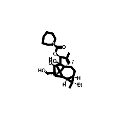 CC[C@@]1(C)[C@@H]2C[C@@H](C)[C@]34C=C(C)[C@H](OC(=O)N5CCCCCC5)[C@@]3(O)[C@H](O)C(CO)=CC([C@@H]21)C4(C)O